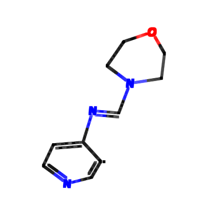 [c]1cnccc1N=CN1CCOCC1